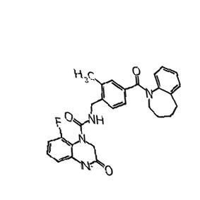 Cc1cc(C(=O)N2CCCCc3ccccc32)ccc1CNC(=O)N1CC(=O)[N]c2cccc(F)c21